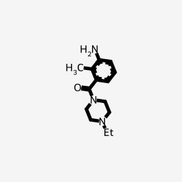 CCN1CCN(C(=O)c2cccc(N)c2C)CC1